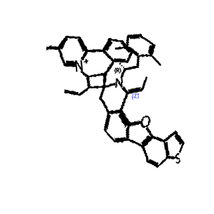 C=CC1C2C(c3ccccc3-c3ccc(C)c[n+]32)C12Cc1ccc3c(oc4c5ccsc5ccc34)c1/C(=C/C)N2[C@H](C)Cc1c(C)cccc1C